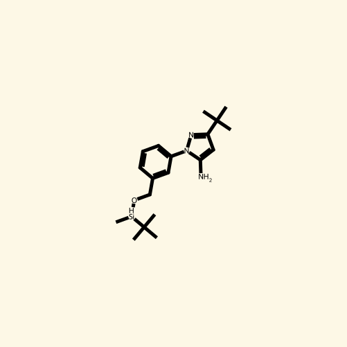 C[SiH](OCc1cccc(-n2nc(C(C)(C)C)cc2N)c1)C(C)(C)C